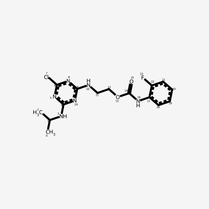 CC(C)Nc1nc(Cl)nc(NCCOC(=O)Nc2ccccc2F)n1